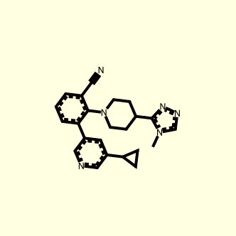 Cn1cnnc1C1CCN(c2c(C#N)cccc2-c2cncc(C3CC3)c2)CC1